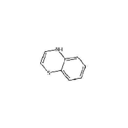 [c]1ccc2c(c1)NC=CS2